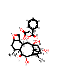 CC(=O)O[C@@]12COC1C[C@H](C)[C@@]1(C)C(=O)[C@H](O)C3=C(C)[C@@H](O)C[C@@](O)([C@@H](OC(=O)c4ccccc4)[C@@H]12)C3(C)C